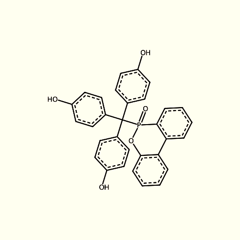 O=P1(C(c2ccc(O)cc2)(c2ccc(O)cc2)c2ccc(O)cc2)Oc2ccccc2-c2ccccc21